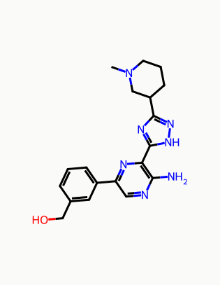 CN1CCCC(c2n[nH]c(-c3nc(-c4cccc(CO)c4)cnc3N)n2)C1